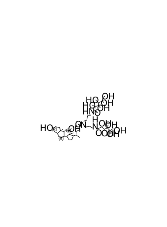 CC(CCC(=O)N(CCCCNC(=O)C(O)C(O)C(O)C(O)CO)CCCNC(=O)C(O)C(O)C(O)C(O)CO)C1CCC2C3C(C[C@H](O)C12C)C1(C)CC[C@@H](O)CC1C[C@H]3C